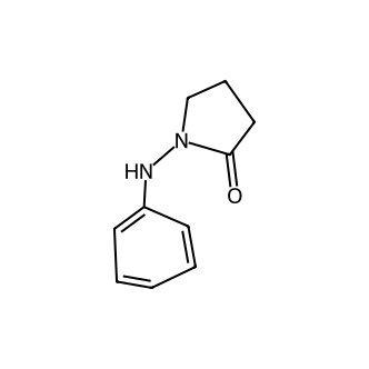 O=C1CCCN1Nc1ccccc1